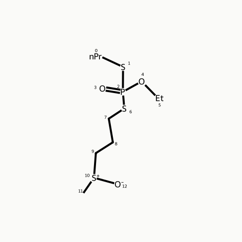 CCCSP(=O)(OCC)SCCC[S+](C)[O-]